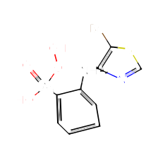 Brc1cncs1.CC(=O)Nc1ccccc1[As](=O)(O)OO